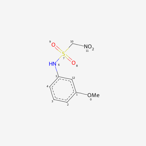 COc1cccc(NS(=O)(=O)C[N+](=O)[O-])c1